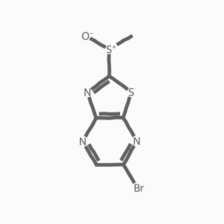 C[S+]([O-])c1nc2ncc(Br)nc2s1